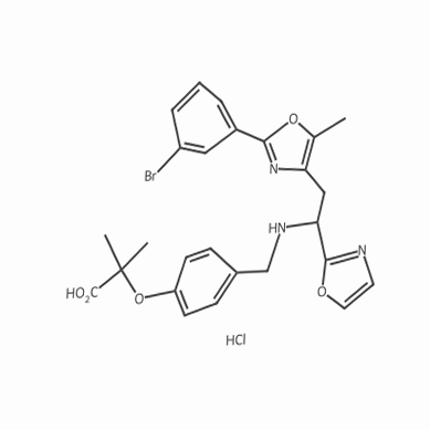 Cc1oc(-c2cccc(Br)c2)nc1CC(NCc1ccc(OC(C)(C)C(=O)O)cc1)c1ncco1.Cl